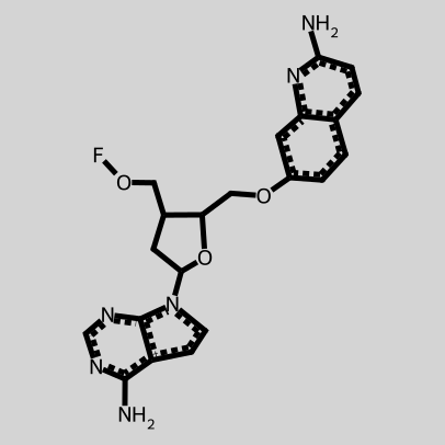 Nc1ccc2ccc(OCC3OC(n4ccc5c(N)ncnc54)CC3COF)cc2n1